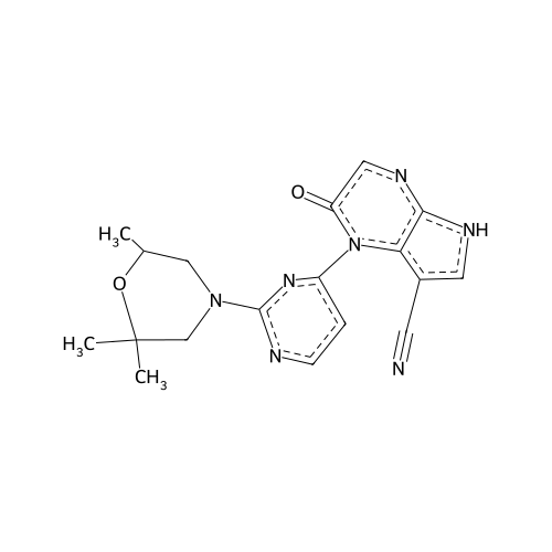 CC1CN(c2nccc(-n3c(=O)cnc4[nH]cc(C#N)c43)n2)CC(C)(C)O1